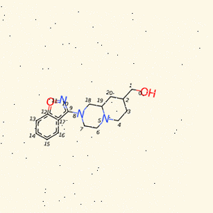 OCC1CCN2CCN(c3noc4ccccc34)CC2C1